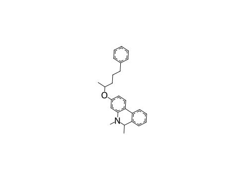 CC(CCCc1ccccc1)Oc1ccc2c(c1)N(C)C(C)c1ccccc1-2